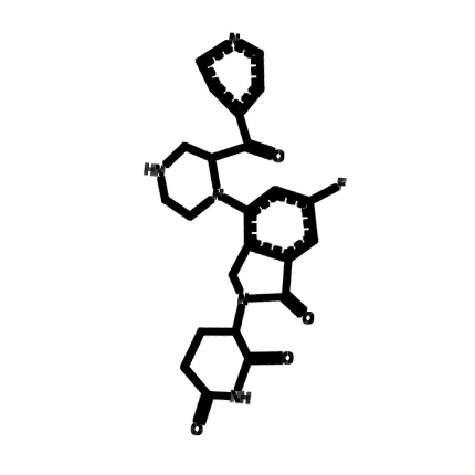 O=C1CCC(N2Cc3c(cc(F)cc3N3CCNCC3C(=O)c3ccncc3)C2=O)C(=O)N1